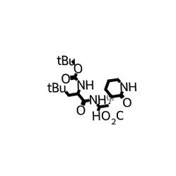 CC(C)(C)CC(NC(=O)OC(C)(C)C)C(=O)NC(C[C@@H]1CCCNC1=O)C(=O)O